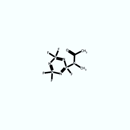 CC(=O)N(C)P1(F)=NP(F)(F)=NP(F)(F)=N1